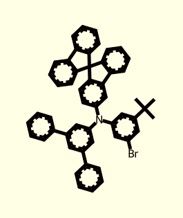 CC(C)(C)c1cc(Br)cc(N(c2cc(-c3ccccc3)cc(-c3ccccc3)c2)c2ccc3c(c2)-c2ccccc2C32c3ccccc3-c3ccccc32)c1